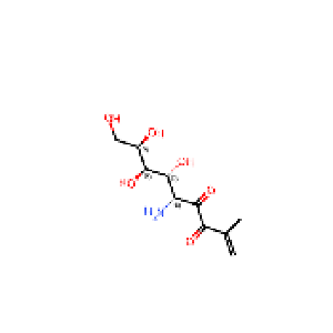 C=C(C)C(=O)C(=O)[C@H](N)[C@@H](O)[C@@H](O)[C@H](O)CO